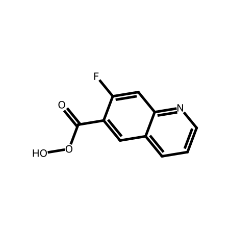 O=C(OO)c1cc2cccnc2cc1F